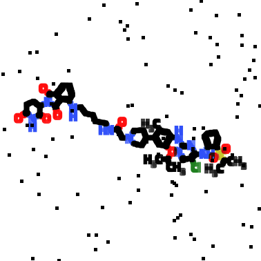 Cc1cc(Nc2ncc(Cl)c(Nc3ccccc3S(=O)(=O)C(C)C)n2)c(OC(C)C)cc1C1CCN(CC(=O)NCCCCCNc2cccc3c2C(=O)N(C2CCC(=O)NC2=O)C3=O)CC1